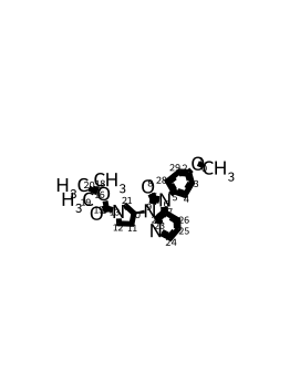 COc1ccc(-n2c(=O)n([C@H]3CCN(C(=O)OC(C)(C)C)C3)c3ncccc32)cc1